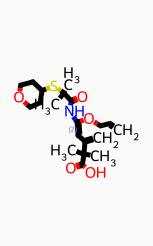 C=CCO/C(=C\C(=C)C(C)(C)C(=O)O)NC(=O)C(C)(C)SC1CCOCC1